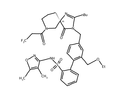 CCCCC1=N[C@@]2(CCCN(C(=O)CC(F)(F)F)C2)C(=O)N1Cc1ccc(-c2ccccc2S(=O)(=O)Nc2noc(C)c2C)c(COCC)c1